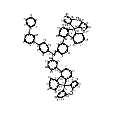 c1ccc(-c2cccc(-c3ccc(N(c4cccc(-c5cccc6c5-c5ccccc5C65c6ccccc6Oc6ccccc65)c4)c4cccc(-c5cccc6c5-c5ccccc5C65c6ccccc6Oc6ccccc65)c4)cc3)c2)cc1